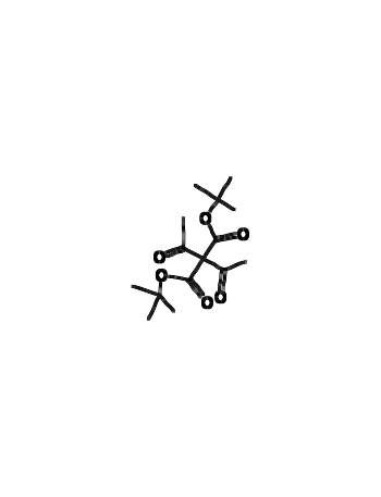 CC(=O)C(C(C)=O)(C(=O)OC(C)(C)C)C(=O)OC(C)(C)C